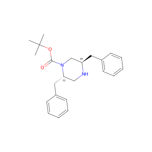 CC(C)(C)OC(=O)N1C[C@@H](Cc2ccccc2)NC[C@@H]1Cc1ccccc1